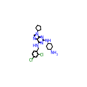 N[C@H]1CC[C@H](Nc2nc(NCc3ccc(Cl)cc3Cl)c3ncn(C4CCCC4)c3n2)CC1